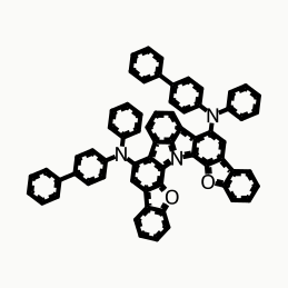 c1ccc(-c2ccc(N(c3ccccc3)c3cc4c5ccccc5oc4c4c3c3cccc5c6c(N(c7ccccc7)c7ccc(-c8ccccc8)cc7)cc7c8ccccc8oc7c6n4c35)cc2)cc1